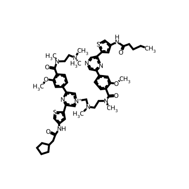 CCCCC(=O)Nc1csc(-c2cncc(-c3ccc(C(=O)N(C)CCN(C)C[n+]4cc(-c5ccc(C(=O)N(C)CCN(C)C)c(OC)c5)nc(-c5cc(NC(=O)CC6CCCC6)cs5)c4)c(OC)c3)n2)c1